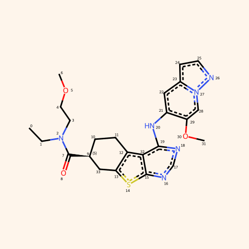 CCN(CCOC)C(=O)[C@H]1CCc2c(sc3ncnc(Nc4cc5ccnn5cc4OC)c23)C1